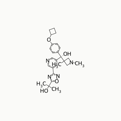 CN1CC(C)([C@](O)(c2ccc(OC3CCC3)cc2)c2cncc(-c3noc(C(C)(C)O)n3)c2)C1